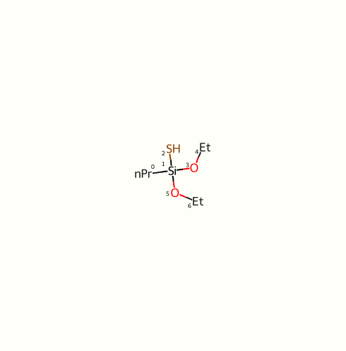 CCC[Si](S)(OCC)OCC